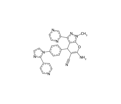 Cn1nc(-c2cnccn2)c2c1OC(N)=C(C#N)C2c1ccc(-n2ccnc2-c2ccncc2)cc1